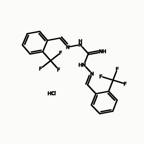 Cl.N=C(NN=Cc1ccccc1C(F)(F)F)NN=Cc1ccccc1C(F)(F)F